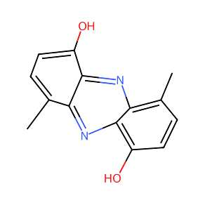 Cc1ccc(O)c2nc3c(C)ccc(O)c3nc12